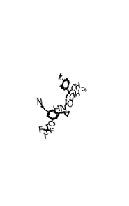 CC(O)(CC(=O)NC1(c2cc(C#N)cc(OCC(F)(F)F)c2)CC1)c1ccc(F)cc1